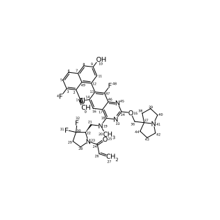 C#Cc1c(F)ccc2cc(O)cc(-c3c(Cl)cc4c(N(C)C[C@H]5N(C(=O)C=C)CCC5(F)F)nc(OCC56CCCN5CCC6)nc4c3F)c12